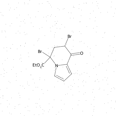 CCOC(=O)C1(Br)CC(Br)C(=O)c2cccn21